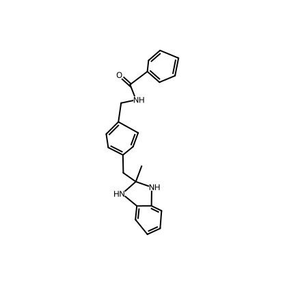 CC1(Cc2ccc(CNC(=O)c3ccccc3)cc2)Nc2ccccc2N1